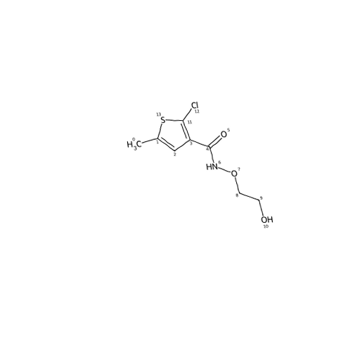 Cc1cc(C(=O)NOCCO)c(Cl)s1